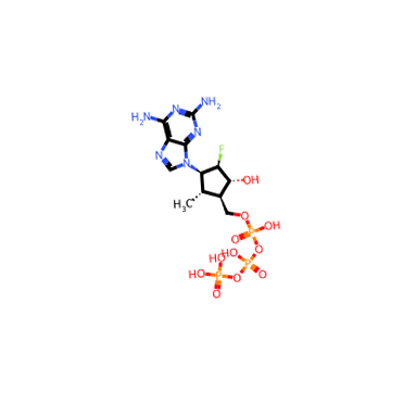 C[C@H]1[C@H](COP(=O)(O)OP(=O)(O)OP(=O)(O)O)[C@@H](O)[C@H](F)[C@@H]1n1cnc2c(N)nc(N)nc21